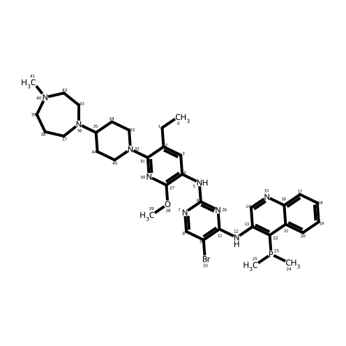 CCc1cc(Nc2ncc(Br)c(Nc3cnc4ccccc4c3P(C)C)n2)c(OC)nc1N1CCC(N2CCCN(C)CC2)CC1